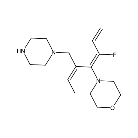 C=C/C(F)=C(\C(=C/C)CN1CCNCC1)N1CCOCC1